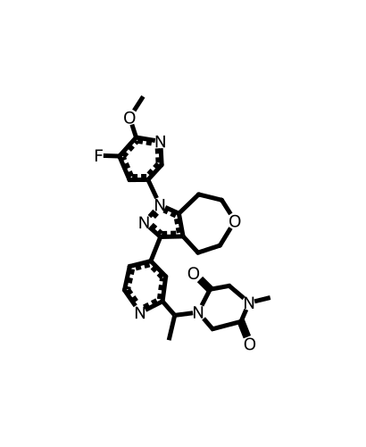 COc1ncc(-n2nc(-c3ccnc(C(C)N4CC(=O)N(C)CC4=O)c3)c3c2CCOCC3)cc1F